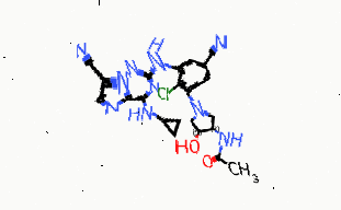 CC(=O)N[C@@H]1CN(c2cc(C#N)cc(Nc3nc(NC4CC4)c4ncc(C#N)n4n3)c2Cl)C[C@@H]1O